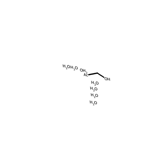 CC(=O)CO.O.O.O.O.O.O.O